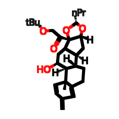 C=C1C=C[C@@]2(C)C(=C1)CC[C@@H]1[C@@H]2[C@@H](O)CC2[C@H]1C[C@H]1O[C@@H](CCC)O[C@@]21C(=O)COC(C)(C)C